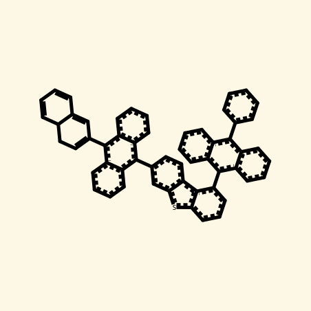 C1=CC2=CC(c3c4ccccc4c(-c4ccc5c(c4)sc4cccc(-c6c7ccccc7c(-c7ccccc7)c7ccccc67)c45)c4ccccc34)=CCC2C=C1